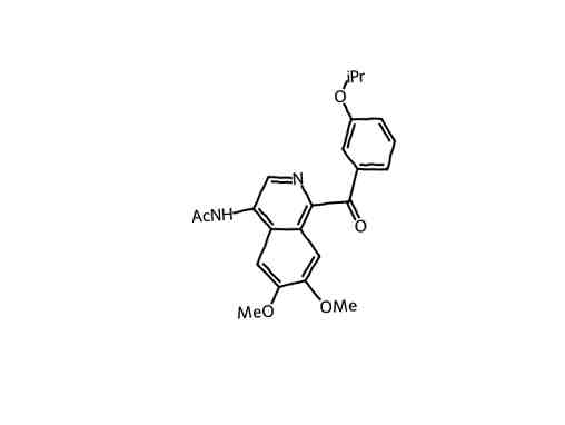 COc1cc2c(NC(C)=O)cnc(C(=O)c3cccc(OC(C)C)c3)c2cc1OC